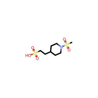 CS(=O)(=O)N1CCC(CCS(=O)(=O)O)CC1